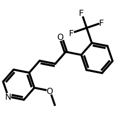 COc1cnccc1C=CC(=O)c1ccccc1C(F)(F)F